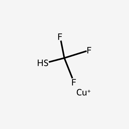 FC(F)(F)S.[Cu+]